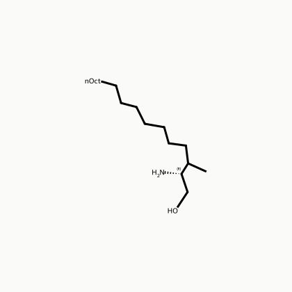 CCCCCCCCCCCCCCCC(C)[C@@H](N)CO